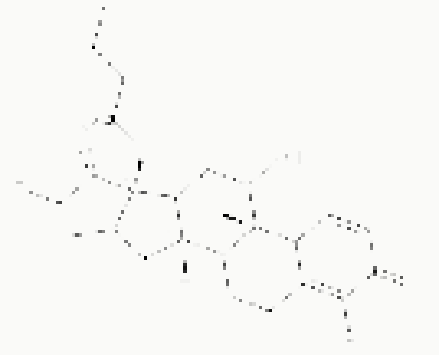 CCCC(=O)O[C@]1(C(=O)CF)C(C)C[C@H]2[C@@H]3CCC4=C(F)C(=O)C=C[C@]4(C)[C@@]3(F)C(O)C[C@@]21C